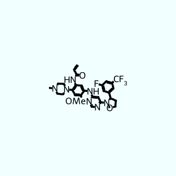 C=CC(=O)Nc1cc(Nc2cc(N3OCCC3c3cc(F)cc(C(F)(F)F)c3)ncn2)c(OC)cc1N1CCN(C)CC1